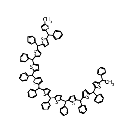 Cc1ccc(C(c2ccccc2)c2ccc(C(c3ccccc3)c3ccc(C(c4ccccc4)c4ccc(C(c5ccccc5)c5ccc(C(c6ccccc6)c6ccc(C(c7ccccc7)c7ccc(C(c8ccccc8)c8ccc(C(c9ccccc9)c9ccc(C(c%10ccccc%10)c%10ccc(C(C)c%11ccccc%11)s%10)s9)s8)s7)s6)s5)s4)s3)s2)s1